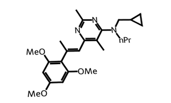 CCCN(CC1CC1)c1nc(C)nc(C=C(C)c2c(OC)cc(OC)cc2OC)c1C